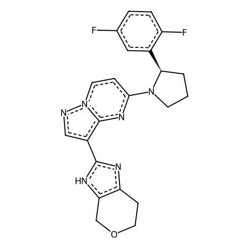 Fc1ccc(F)c([C@H]2CCCN2c2ccn3ncc(-c4nc5c([nH]4)COCC5)c3n2)c1